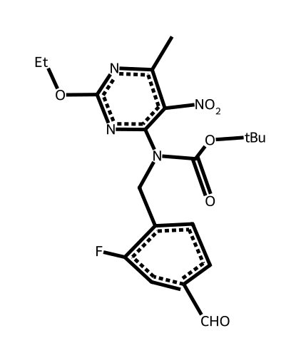 CCOc1nc(C)c([N+](=O)[O-])c(N(Cc2ccc(C=O)cc2F)C(=O)OC(C)(C)C)n1